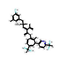 C=C(C)/C(=C\C(C)(CCCC)Cc1cc(C)cc(F)c1)C(=C)CC1=C(C)C(c2ccc(C(C)(F)F)nc2)C=C(C(C)(F)F)C=C1